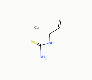 C=CCNC(N)=S.[Cu]